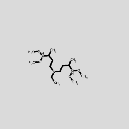 CCN(CCC(C)[SiH](OC)OC)CCC(C)[SiH](OC)OC